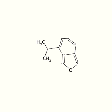 CC(C)c1cccc2co[c]c12